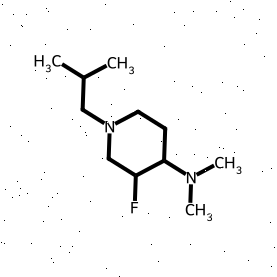 CC(C)CN1CCC(N(C)C)C(F)C1